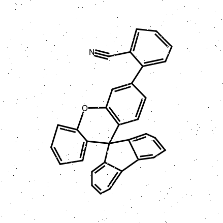 N#Cc1ccccc1-c1ccc2c(c1)Oc1ccccc1C21c2ccccc2-c2ccccc21